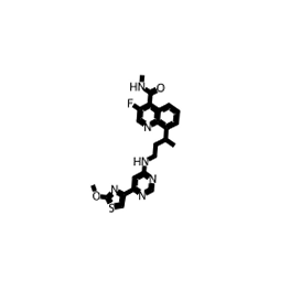 CNC(=O)c1c(F)cnc2c(C(C)CCNc3cc(-c4csc(OC)n4)ncn3)cccc12